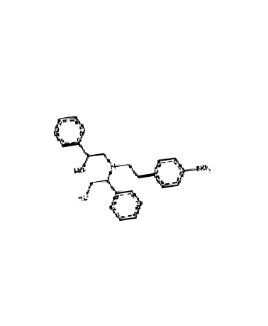 O=[N+]([O-])c1ccc(CCN(C[C@@H](O)c2ccccc2)C(CO)c2ccccc2)cc1